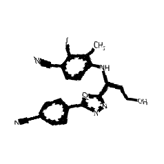 Cc1c(NC(CCO)c2nnc(-c3ccc(C#N)cc3)o2)ccc(C#N)c1I